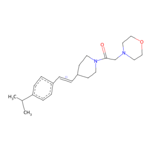 CC(C)c1ccc(/C=C/C2CCN(C(=O)CN3CCOCC3)CC2)cc1